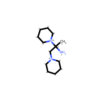 CC(N)(CN1CCCCC1)N1CCCCC1